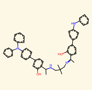 C/C(=N\CC(C)(C)CNC(C)c1ccc(-c2ccc(N(c3ccccc3)c3ccccc3)cc2)cc1O)c1ccc(-c2ccc(Nc3ccccc3)cc2)cc1O